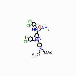 CC(=O)OCCN(CCOC(C)=O)c1ccc(-c2nc3cc(C(CC(N)=O)NCc4ccc(Cl)c(Cl)c4)ccc3n2Cc2ccc(F)c(Cl)c2)cc1